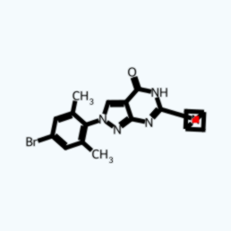 Cc1cc(Br)cc(C)c1-n1cc2c(=O)[nH]c(N3CC4CC3C4)nc2n1